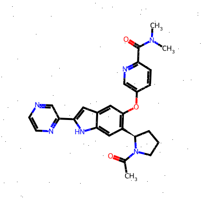 CC(=O)N1CCC[C@@H]1c1cc2[nH]c(-c3cnccn3)cc2cc1Oc1ccc(C(=O)N(C)C)nc1